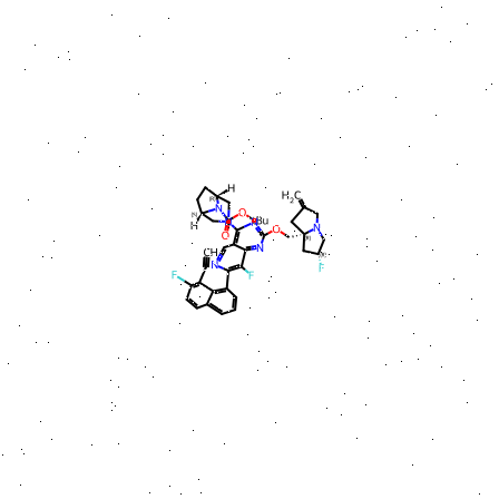 C#Cc1c(F)ccc2cccc(-c3ncc4c(N5C[C@H]6CC[C@@H](C5)N6C(=O)OC(C)(C)C)nc(OC[C@]56CC(=C)CN5C[C@H](F)C6)nc4c3F)c12